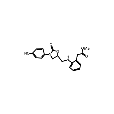 COC(=O)Cc1ccccc1NCC1CN(c2ccc(C#N)cc2)C(=O)O1